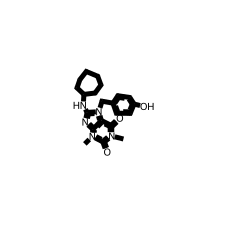 Cn1c(=O)c2c(nc(NC3CCCCCC3)n2Cc2ccc(O)cc2)n(C)c1=O